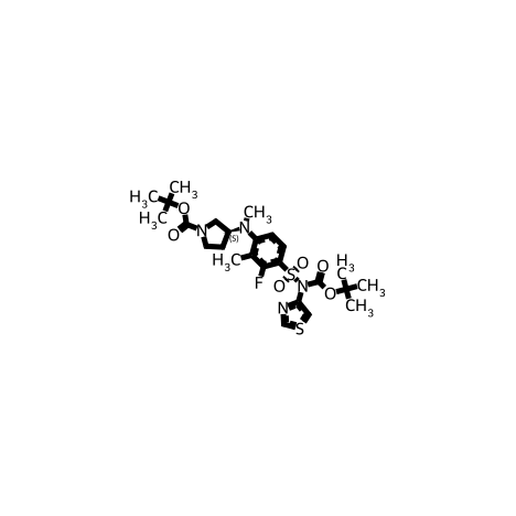 Cc1c(N(C)[C@H]2CCN(C(=O)OC(C)(C)C)C2)ccc(S(=O)(=O)N(C(=O)OC(C)(C)C)c2cscn2)c1F